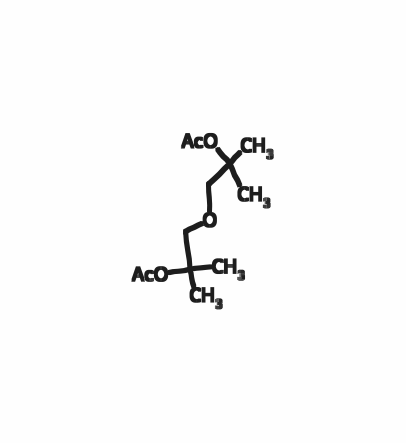 CC(=O)OC(C)(C)COCC(C)(C)OC(C)=O